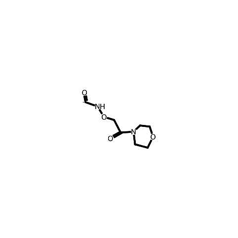 O=[C]NOCC(=O)N1CCOCC1